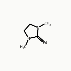 CN1CCN(C)[C]1=[Pd]